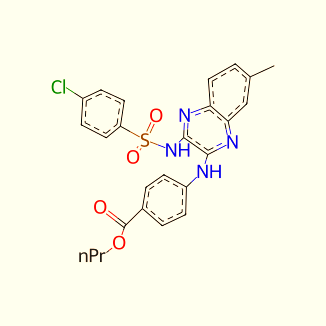 CCCOC(=O)c1ccc(Nc2nc3cc(C)ccc3nc2NS(=O)(=O)c2ccc(Cl)cc2)cc1